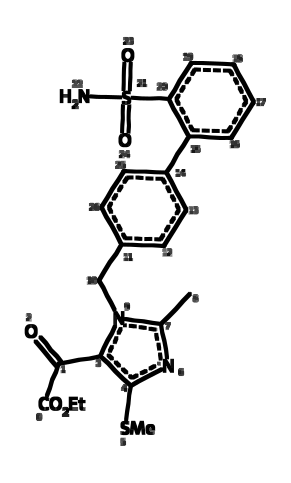 CCOC(=O)C(=O)c1c(SC)nc(C)n1Cc1ccc(-c2ccccc2S(N)(=O)=O)cc1